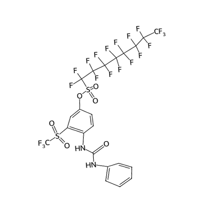 O=C(Nc1ccccc1)Nc1ccc(OS(=O)(=O)C(F)(F)C(F)(F)C(F)(F)C(F)(F)C(F)(F)C(F)(F)C(F)(F)C(F)(F)F)cc1S(=O)(=O)C(F)(F)F